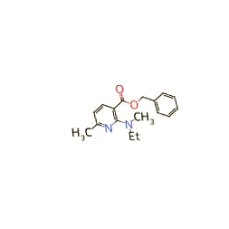 CCN(C)c1nc(C)ccc1C(=O)OCc1ccccc1